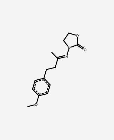 COc1ccc(CC/C(C)=N/N2CCOC2=O)cc1